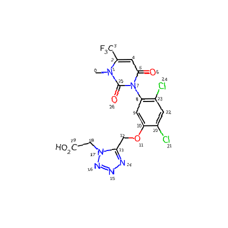 Cn1c(C(F)(F)F)cc(=O)n(-c2cc(OCc3nnnn3CC(=O)O)c(Cl)cc2Cl)c1=O